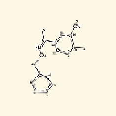 CC(=NOCc1ccccc1)c1ccc(C)c(C#N)c1